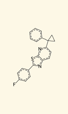 Fc1ccc(-c2nc3ccc(C4(c5ccccc5)CC4)nc3s2)cc1